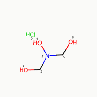 Cl.OCN(O)CO